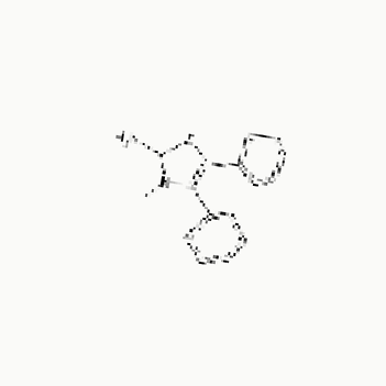 CN1C(c2ccccc2)=C(c2ccccc2)SC1N